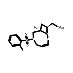 COC[C@@H]1C[C@@H]2CN(S(=O)(=O)c3ccccc3C)C/C=C\CN12